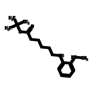 CNc1ccccc1NCCCCCC(=O)OC(C)(C)C